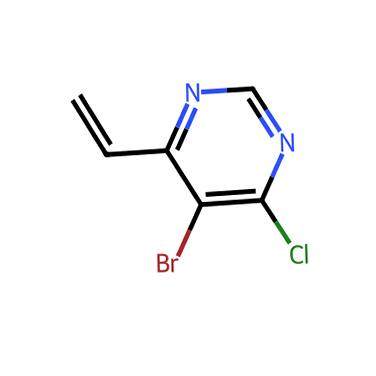 C=Cc1ncnc(Cl)c1Br